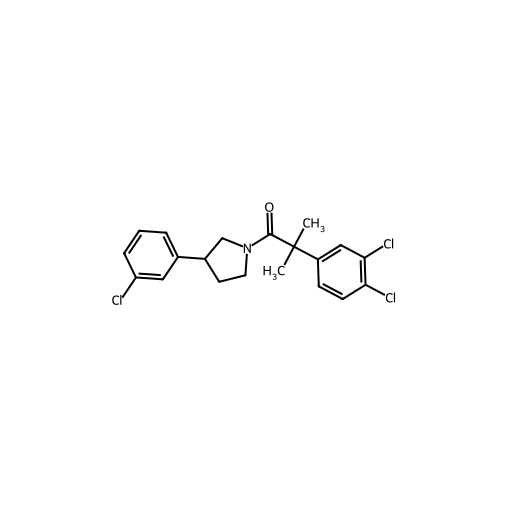 CC(C)(C(=O)N1CCC(c2cccc(Cl)c2)C1)c1ccc(Cl)c(Cl)c1